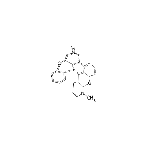 CN1C=CCC2c3c4c(c5c[nH]cc6oc7ccccc7c3c5-6)=CC=CC4OC21